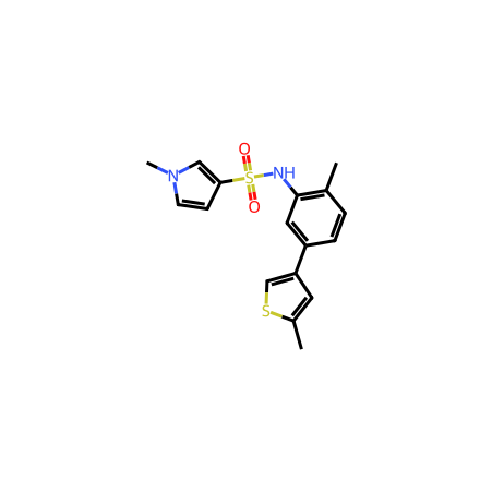 Cc1cc(-c2ccc(C)c(NS(=O)(=O)c3ccn(C)c3)c2)cs1